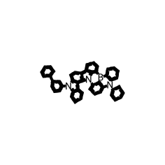 c1ccc(-c2cccc(-n3c4ccccc4c4c3ccc3c5cccc6c5n(c34)-c3cccc4c3B6c3ccccc3N4c3ccccc3)c2)cc1